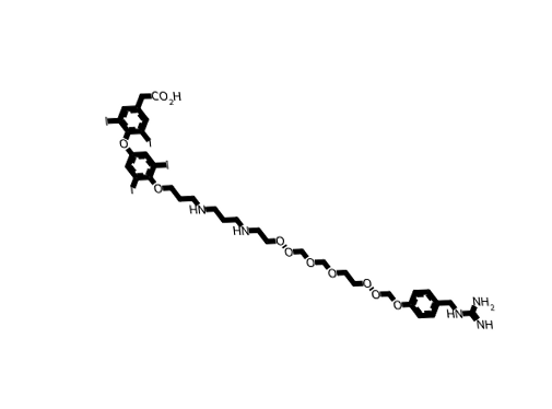 N=C(N)NCc1ccc(OCOOCCOCOCOOCCNCCCNCCCOc2c(I)cc(Oc3c(I)cc(CC(=O)O)cc3I)cc2I)cc1